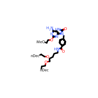 CCCCCCCCCCCCOCC([CH]CCNC(=O)c1ccc(Cn2c(=O)[nH]c3c(N)nc(OCCOC)nc32)cc1)OCCCCCCCCCCCC